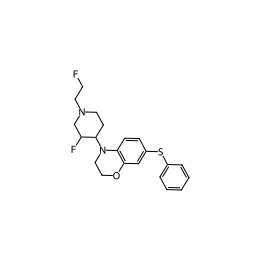 FCCN1CCC(N2CCOc3cc(Sc4ccccc4)ccc32)C(F)C1